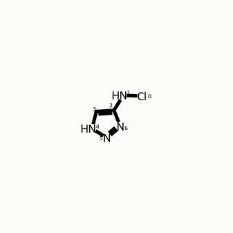 ClNc1c[nH]nn1